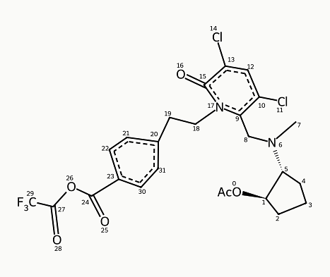 CC(=O)O[C@@H]1CCC[C@H]1N(C)Cc1c(Cl)cc(Cl)c(=O)n1CCc1ccc(C(=O)OC(=O)C(F)(F)F)cc1